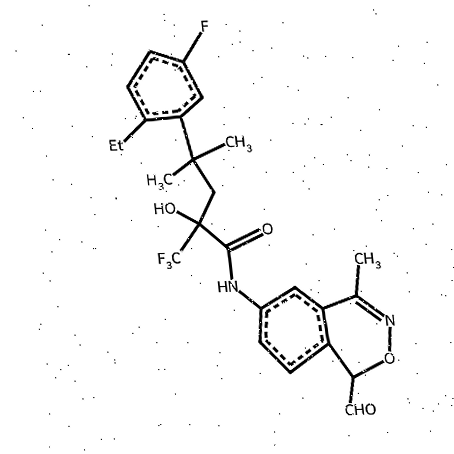 CCc1ccc(F)cc1C(C)(C)CC(O)(C(=O)Nc1ccc2c(c1)C(C)=NOC2C=O)C(F)(F)F